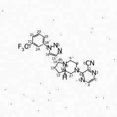 N#Cc1nccnc1N1CCN2[C@@H](CC[C@@H]2c2cn(-c3cccc(C(F)(F)F)c3)nn2)C1